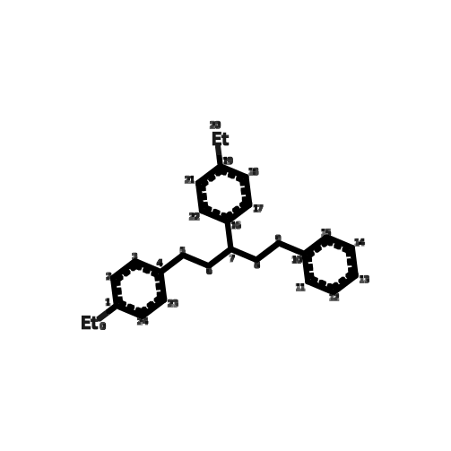 CCc1ccc(CCC(CCc2ccccc2)c2ccc(CC)cc2)cc1